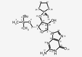 CC(C)(C)[Si](C)(C)OC[C@H]1O[C@@H](n2cnc3c(=O)[nH]c(N)nc32)[C@H](O)[C@@H]1OP1(=S)SCCS1